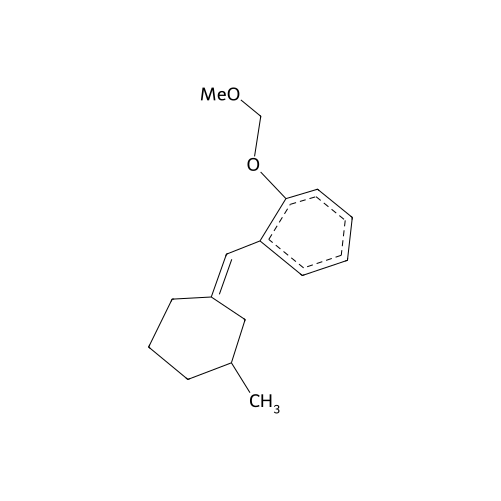 COCOc1ccccc1C=C1CCCC(C)C1